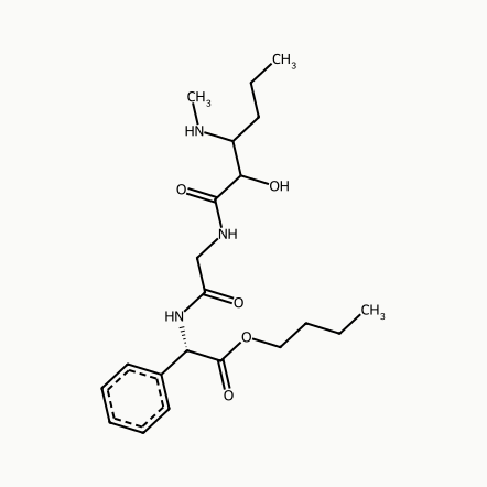 CCCCOC(=O)[C@@H](NC(=O)CNC(=O)C(O)C(CCC)NC)c1ccccc1